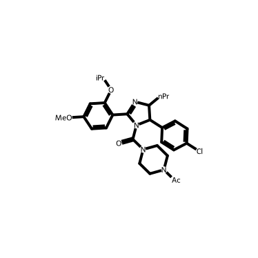 CCCC1N=C(c2ccc(OC)cc2OC(C)C)N(C(=O)N2CCN(C(C)=O)CC2)C1c1ccc(Cl)cc1